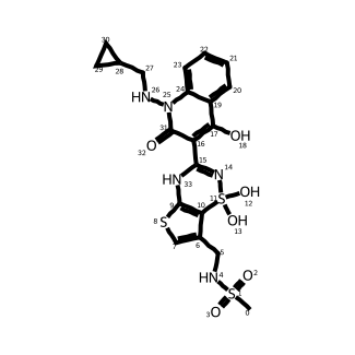 CS(=O)(=O)NCc1csc2c1S(O)(O)N=C(c1c(O)c3ccccc3n(NCC3CC3)c1=O)N2